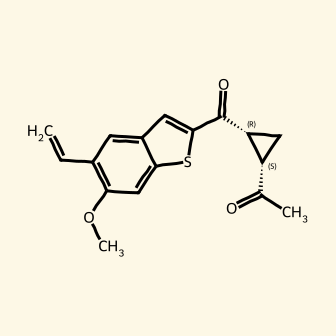 C=Cc1cc2cc(C(=O)[C@@H]3C[C@@H]3C(C)=O)sc2cc1OC